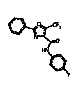 O=C(Nc1ccc(I)cc1)c1nc(-c2ccccc2)oc1C(F)(F)F